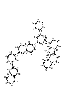 c1ccc(-c2nc(-c3ccc4cc(-c5cccc(-c6ccc7ccccc7c6)c5)ccc4c3)nc(-c3cccc4c3sc3c5ccccc5ccc43)n2)cc1